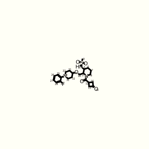 CS(=O)(=O)NC1CCCN(C(=O)C2CC(=O)C2)C1COC1CCN(c2ccccc2F)CC1